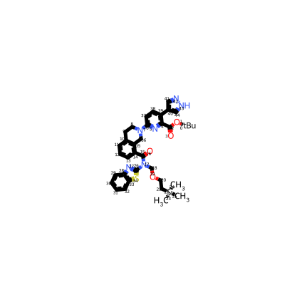 CC(C)(C)OC(=O)c1nc(N2CCc3cccc(C(=O)N(COCC[Si](C)(C)C)c4nc5ccccc5s4)c3C2)ccc1-c1cn[nH]c1